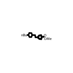 CCCCC1CCC(CCc2ccc(C(=O)OC)cc2)CC1